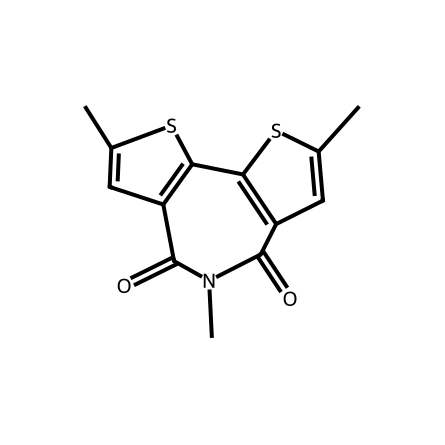 Cc1cc2c(=O)n(C)c(=O)c3cc(C)sc3c2s1